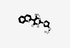 COC1CCN(c2nc(N)c(-c3ccc4ccccc4n3)c(=O)[nH]2)C1